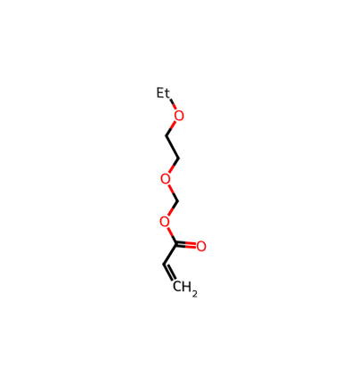 C=CC(=O)OCOCCOCC